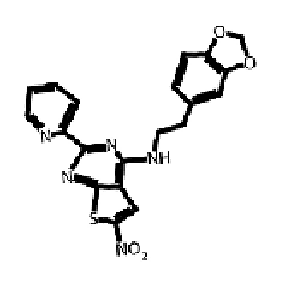 O=[N+]([O-])c1cc2c(NCCc3ccc4c(c3)OCO4)nc(-c3ccccn3)nc2s1